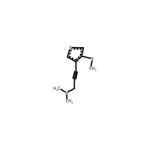 CSc1cscc1C#CCN(C)C